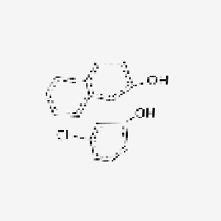 Oc1ccc2ccccc2c1.Oc1cccc(Cl)c1